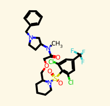 CN(C(=O)COCC1CCCCN1S(=O)(=O)c1c(Cl)cc(C(F)(F)F)cc1Cl)C1CCN(Cc2ccccc2)C1